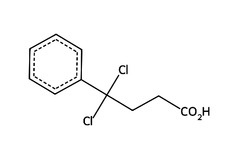 O=C(O)CCC(Cl)(Cl)c1ccccc1